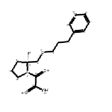 C[C@@]1(COCCCc2cccnc2)CCCN1C(=O)C(=O)O